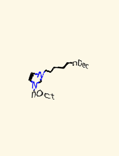 CCCCCCCCCCCCCCCN1C=CN(CCCCCCCC)C1